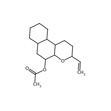 C=CC1CCC2C3CCCCC3CC(OC(C)=O)C2O1